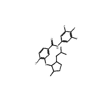 CC(C)CC1CCC(C)C1Sc1cc(C(=O)Nc2cc(F)c(F)c(F)c2)ccc1Cl